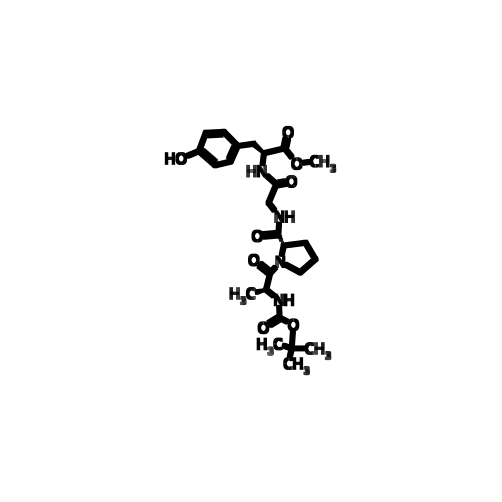 COC(=O)[C@H](Cc1ccc(O)cc1)NC(=O)CNC(=O)[C@@H]1CCCN1C(=O)[C@H](C)NC(=O)OC(C)(C)C